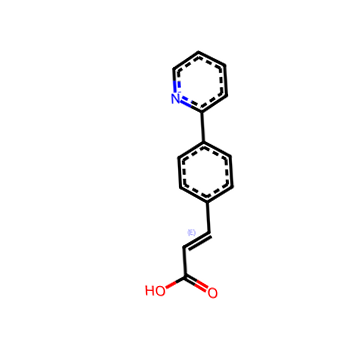 O=C(O)/C=C/c1ccc(-c2ccccn2)cc1